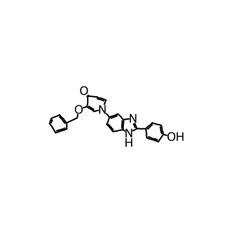 O=c1ccn(-c2ccc3[nH]c(-c4ccc(O)cc4)nc3c2)cc1OCc1ccccc1